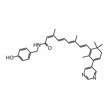 CC1=C(/C=C/C(C)=C/C=C/C(C)=C\C(=O)NCc2ccc(O)cc2)C(C)(C)CC=C1c1cncnc1